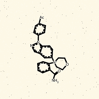 CC(=O)c1ccc(-n2ncc3cc([N+]4(c5ccccc5C(N)=O)CCOCC4)ccc32)cc1